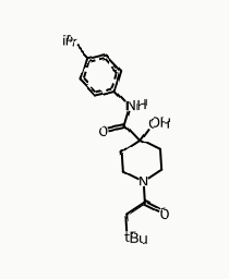 CC(C)c1ccc(NC(=O)C2(O)CCN(C(=O)CC(C)(C)C)CC2)cc1